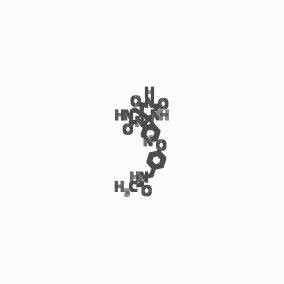 CC(=O)NCc1ccc(Oc2ccc(N3C(=O)NCC34C(=O)NC(=O)NC4=O)cn2)cc1